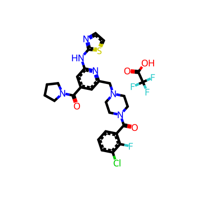 O=C(O)C(F)(F)F.O=C(c1cc(CN2CCN(C(=O)c3cccc(Cl)c3F)CC2)nc(Nc2nccs2)c1)N1CCCC1